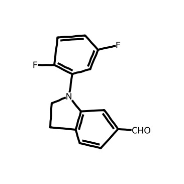 O=Cc1ccc2c(c1)N(c1cc(F)ccc1F)CC2